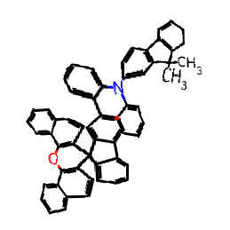 CC1(C)C2=C(C=CCC2)c2ccc(N(c3ccccc3)c3ccccc3-c3ccc4c(c3)C3(c5ccccc5-4)c4ccc5ccccc5c4Oc4c3ccc3ccccc43)cc21